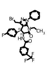 CCN1C(=O)[C@@H](NC(=O)c2cccc(C(F)(F)F)c2)[C@@H](c2ccc(F)cc2)c2c(CBr)nn(-c3ccccc3)c21